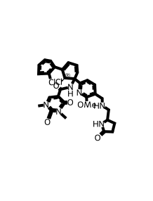 COc1nc(C2(NC(=O)c3cn(C)c(=O)n(C)c3=O)C=CC=C(c3ccccc3Cl)[C@H]2Cl)ccc1CNCC1CCC(=O)N1